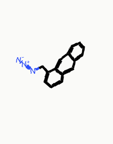 [N-]=[N+]=NCc1cccc2cc3ccccc3cc12